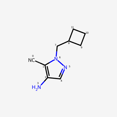 N#Cc1c(N)cnn1CC1CCC1